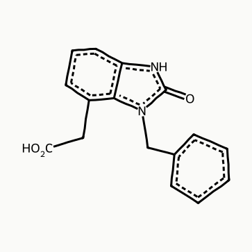 O=C(O)Cc1cccc2[nH]c(=O)n(Cc3ccccc3)c12